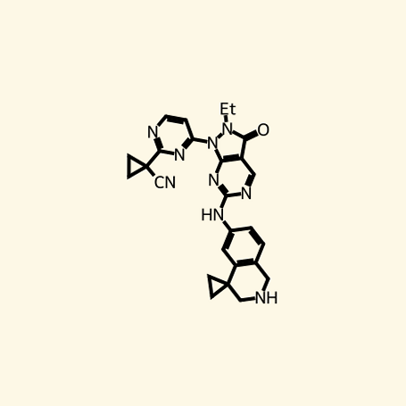 CCn1c(=O)c2cnc(Nc3ccc4c(c3)C3(CC3)CNC4)nc2n1-c1ccnc(C2(C#N)CC2)n1